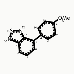 COc1ccc(-c2cccc3nsnc23)cc1